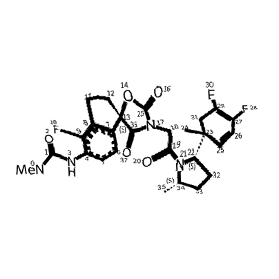 CNC(=O)Nc1ccc2c(c1F)CC[C@]21OC(=O)N(CC(=O)N2[C@H](C3(C)C=CC(F)=C(F)C3)CC[C@@H]2C)C1=O